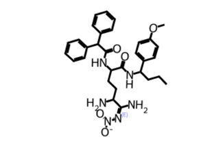 CCCC(NC(=O)C(CCC(N)/C(N)=N\[N+](=O)[O-])NC(=O)C(c1ccccc1)c1ccccc1)c1ccc(OC)cc1